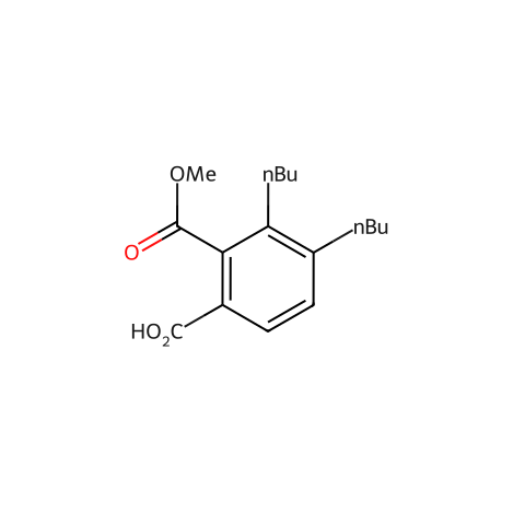 CCCCc1ccc(C(=O)O)c(C(=O)OC)c1CCCC